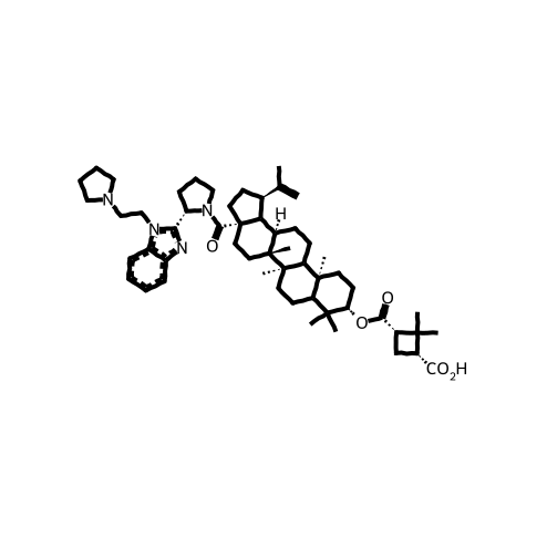 C=C(C)[C@@H]1CC[C@]2(C(=O)N3CCC[C@H]3c3nc4ccccc4n3CCN3CCCC3)CC[C@]3(C)[C@H](CCC4[C@@]5(C)CC[C@H](OC(=O)[C@H]6C[C@@H](C(=O)O)C6(C)C)C(C)(C)C5CC[C@]43C)C12